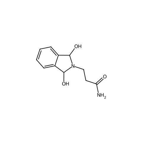 NC(=O)CCN1C(O)c2ccccc2C1O